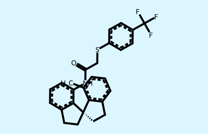 Cc1cccc2c1[C@@]1(CC2)CCc2cccc(NC(=O)CSc3ccc(C(F)(F)F)cc3)c21